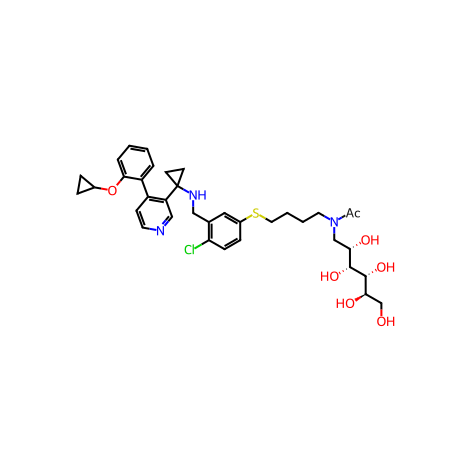 CC(=O)N(CCCCSc1ccc(Cl)c(CNC2(c3cnccc3-c3ccccc3OC3CC3)CC2)c1)C[C@H](O)[C@@H](O)[C@H](O)[C@H](O)CO